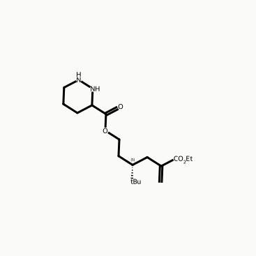 C=C(C[C@@H](CCOC(=O)C1CCCNN1)C(C)(C)C)C(=O)OCC